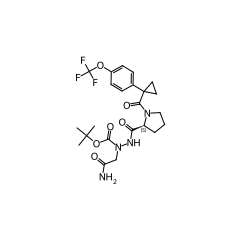 CC(C)(C)OC(=O)N(CC(N)=O)NC(=O)[C@@H]1CCCN1C(=O)C1(c2ccc(OC(F)(F)F)cc2)CC1